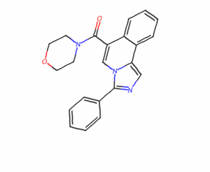 O=C(c1cn2c(-c3ccccc3)ncc2c2ccccc12)N1CCOCC1